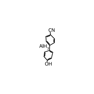 N#Cc1ccc(-c2ccc(O)cc2)cc1.[AlH3]